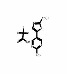 Cc1ncc(-c2cnc(C(=O)O)s2)cn1.O=C(O)C(F)(F)F